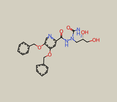 NC(=O)N(C[C@H](O)CO)NC(=O)c1cc(OCc2ccccc2)c(OCc2ccccc2)cn1